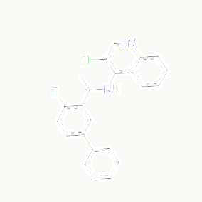 CC(Nc1c(Cl)cnc2ccccc12)c1cc(-c2ccccc2)ccc1F